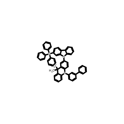 CC1(C)c2ccccc2N(c2cccc(-c3ccccc3)c2)c2ccc(-n3c4ccccc4c4ccc([Si](c5ccccc5)(c5ccccc5)c5ccccc5)cc43)cc21